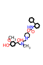 COc1cc(C(O)CN(C)CCN2CCC(OC(=O)Nc3ccccc3-c3ccccc3)CC2)ccc1O